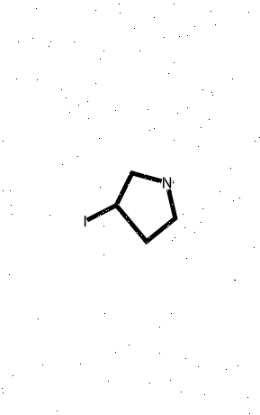 IC1CC[N]C1